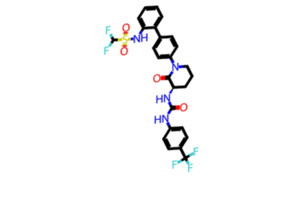 O=C(Nc1ccc(C(F)(F)F)cc1)N[C@@H]1CCCN(c2ccc(-c3ccccc3NS(=O)(=O)C(F)F)cc2)C1=O